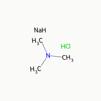 CN(C)C.Cl.[NaH]